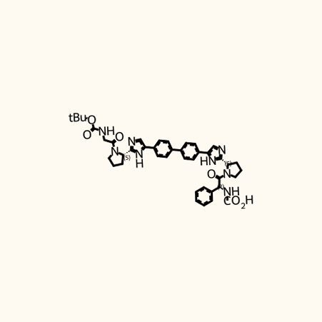 CC(C)(C)OC(=O)NCC(=O)N1CCC[C@H]1c1ncc(-c2ccc(-c3ccc(-c4cnc([C@@H]5CCCN5C(=O)[C@H](NC(=O)O)c5ccccc5)[nH]4)cc3)cc2)[nH]1